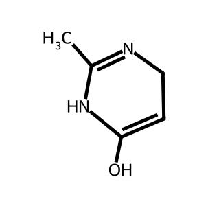 CC1=NCC=C(O)N1